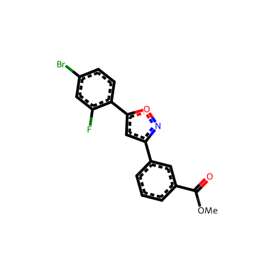 COC(=O)c1cccc(-c2cc(-c3ccc(Br)cc3F)on2)c1